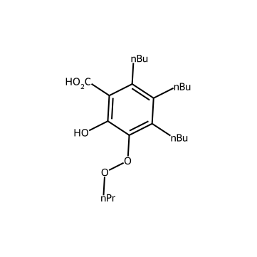 CCCCc1c(CCCC)c(OOCCC)c(O)c(C(=O)O)c1CCCC